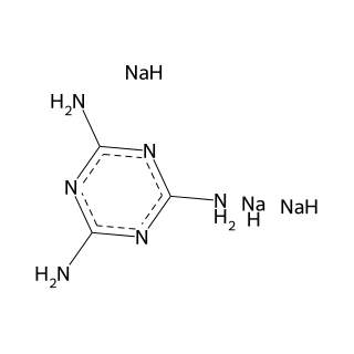 Nc1nc(N)nc(N)n1.[NaH].[NaH].[NaH]